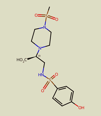 CS(=O)(=O)N1CCN([C@@H](CNS(=O)(=O)c2ccc(O)cc2)C(=O)O)CC1